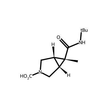 CC(C)(C)NC(=O)[C@]1(C)[C@@H]2CN(C(=O)O)C[C@@H]21